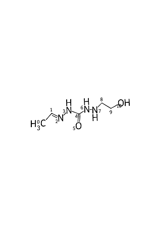 CC=NNC(=O)NNCCO